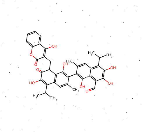 Cc1cc2c(c(O)c1-c1c(C)cc3c(C(C)C)c(O)c(O)c(C=O)c3c1O)C(Cc1c(O)c3ccccc3oc1=O)C(=O)C(O)=C2C(C)C